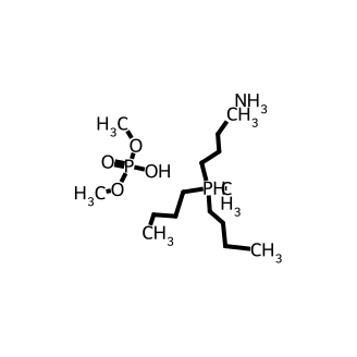 CCCC[PH](C)(CCCC)CCCC.COP(=O)(O)OC.N